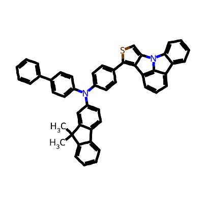 CC1(C)c2ccccc2-c2ccc(N(c3ccc(-c4ccccc4)cc3)c3ccc(-c4scc5c4c4cccc6c7ccccc7n5c64)cc3)cc21